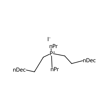 CCCCCCCCCCCC[P+](CCC)(CCC)CCCCCCCCCCCC.[I-]